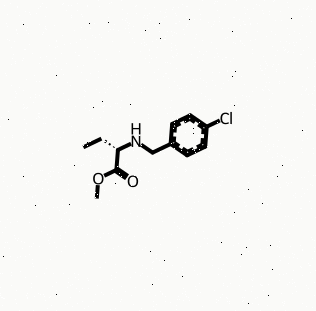 CC[C@H](NCc1ccc(Cl)cc1)C(=O)OC